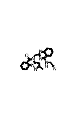 Cc1cc2n(Cc3nc(NCC#N)c4ccccc4n3)c(=O)c3ccccc3n2n1